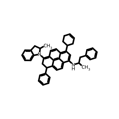 CC(Cc1ccccc1)Nc1cc(C2CC=CCC2)c2ccc3c4c(ccc1c24)C(c1ccccc1)CC=3N1c2ccccc2CC1C